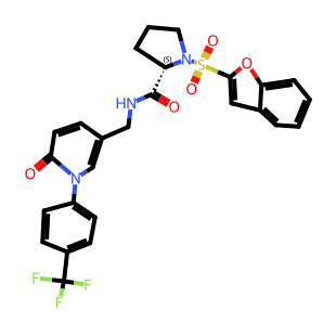 O=C(NCc1ccc(=O)n(-c2ccc(C(F)(F)F)cc2)c1)[C@@H]1CCCN1S(=O)(=O)c1cc2ccccc2o1